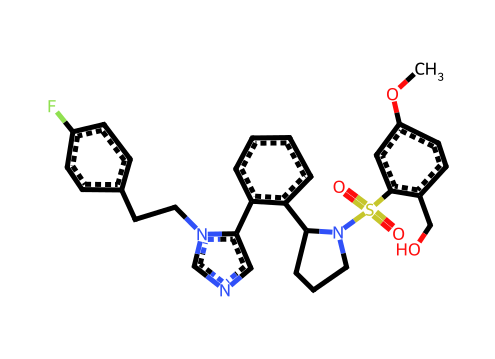 COc1ccc(CO)c(S(=O)(=O)N2CCCC2c2ccccc2-c2cncn2CCc2ccc(F)cc2)c1